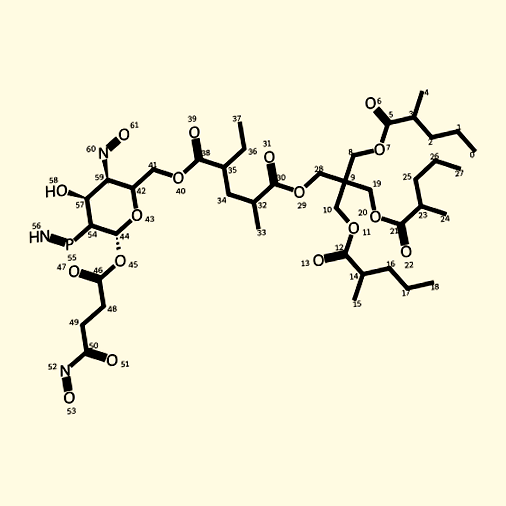 CCCC(C)C(=O)OCC(COC(=O)C(C)CCC)(COC(=O)C(C)CCC)COC(=O)C(C)CC(CC)C(=O)OCC1O[C@H](OC(=O)CCC(=O)N=O)C(P=N)[C@@H](O)[C@H]1N=O